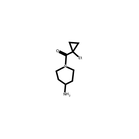 CCC1(C(=O)N2CCC(N)CC2)CC1